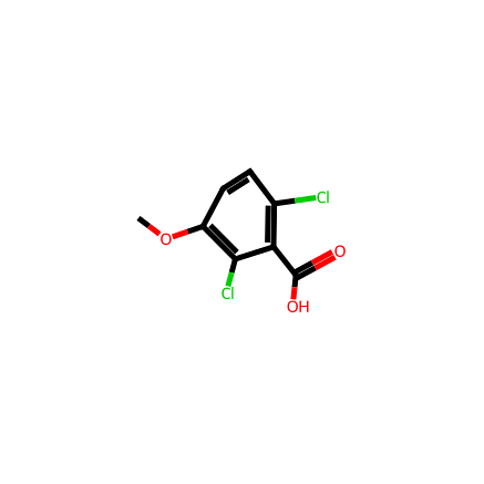 COc1ccc(Cl)c(C(=O)O)c1Cl